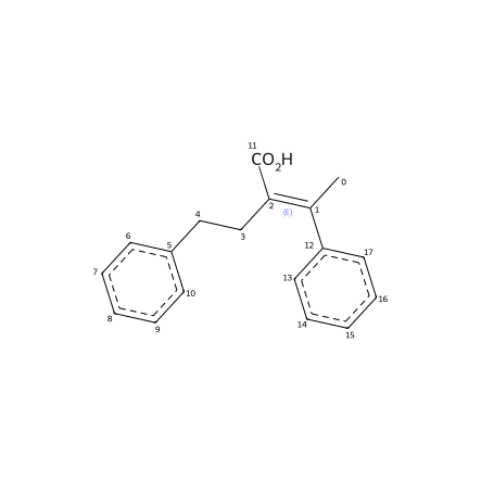 C/C(=C(/CCc1ccccc1)C(=O)O)c1ccccc1